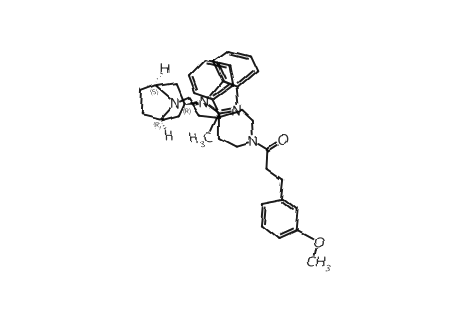 COc1cccc(CCC(=O)N2CCC(CCN3[C@@H]4CC[C@H]3C[C@@H](n3c(C)nc5ccccc53)C4)(c3ccccc3)CC2)c1